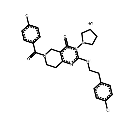 Cl.O=C(c1ccc(Cl)cc1)N1CCc2nc(NCCc3ccc(Cl)cc3)n(N3CCCC3)c(=O)c2C1